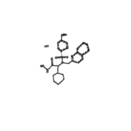 COc1ccc(S(=O)(=O)N(Cc2ccc3ccccc3n2)C(C(=O)NO)C2CCCCC2)cc1.Cl